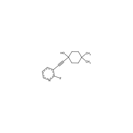 CC1(C)CCC(O)(C#Cc2cccnc2F)CC1